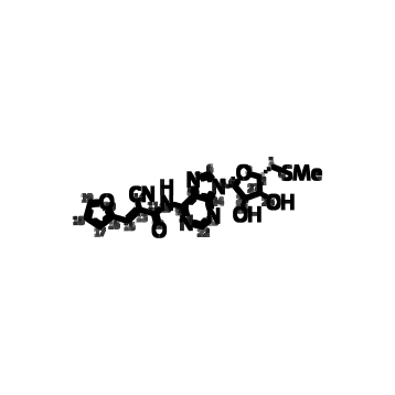 CSC[C@H]1O[C@@H](n2cnc3c(NC(=O)/C(C#N)=C/c4ccco4)ncnc32)[C@H](O)[C@@H]1O